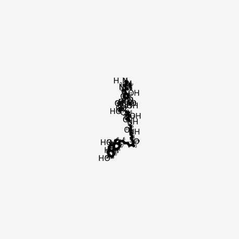 CC(CCC[C@@H](C)[C@H]1CC[C@H]2[C@@H]3[C@H](O)C[C@@H]4C[C@H](O)CC[C@]4(C)[C@H]3CC[C@]12C)C(=O)SCCNC(=O)CCNC(=O)[C@H](O)C(C)(C)COP(=O)(O)OP(=O)(O)OC[C@H]1O[C@@H](n2cnc3c(N)ncnc32)C(O)[C@H]1OP(=O)(O)O